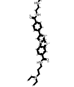 CCN(CC)CCCNC(=O)c1ccc2c(c1)sc1nc(-c3ccc(C(=O)NCCNC)cc3)cn12